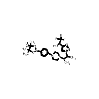 CC([C@@H](C)N1CCN(c2ccc(B3OC(C)(C)C(C)(C)O3)cc2)CC1)n1cc(C(O)C(F)(F)F)nn1